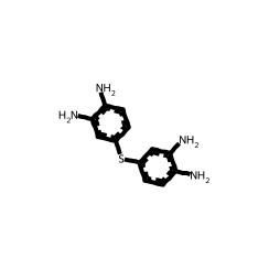 Nc1ccc(Sc2ccc(N)c(N)c2)cc1N